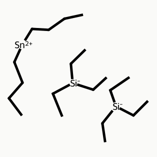 CCC[CH2][Sn+2][CH2]CCC.CC[Si-](CC)CC.CC[Si-](CC)CC